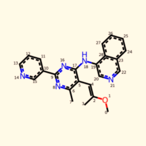 CO/C(C)=C/c1c(C)nc(-c2cccnc2)nc1Nc1cncc2ccccc12